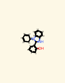 Oc1ccccc1C1Nc2ccccc2N1C1C=CC=CC1